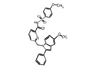 COc1ccc(S(=O)(=O)NC(=O)c2cccc(Cn3c(-c4ccccc4)cc4cc(OC)ccc43)n2)cc1